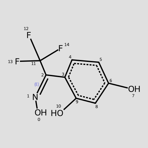 O/N=C(\c1ccc(O)cc1O)C(F)(F)F